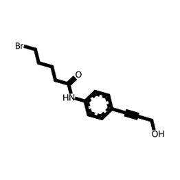 O=C(CCCCBr)Nc1ccc(C#CCO)cc1